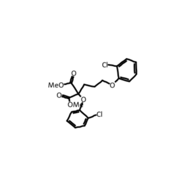 COC(=O)C(CCCOc1ccccc1Cl)(Oc1ccccc1Cl)C(=O)OC